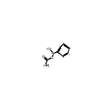 NC(=O)OB(O)c1ccccc1